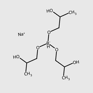 CC(O)CO[BH-](OCC(C)O)OCC(C)O.[Na+]